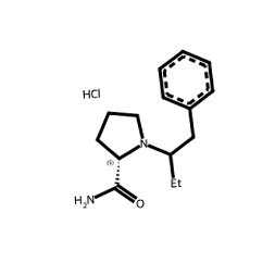 CCC(Cc1ccccc1)N1CCC[C@H]1C(N)=O.Cl